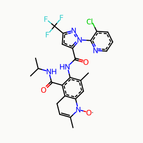 CC1=CCc2c(cc(C)c(NC(=O)c3cc(C(F)(F)F)nn3-c3ncccc3Cl)c2C(=O)NC(C)C)N1[O]